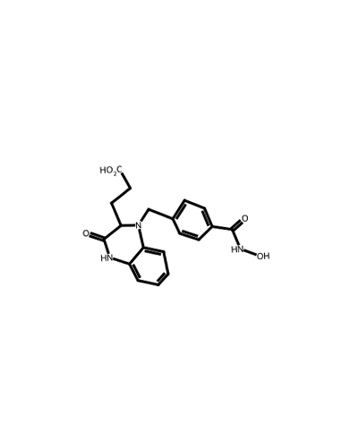 O=C(O)CCC1C(=O)Nc2ccccc2N1Cc1ccc(C(=O)NO)cc1